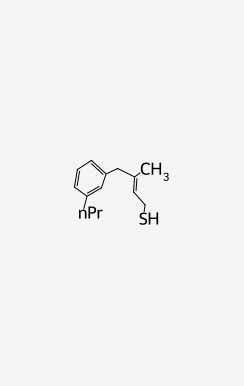 CCCc1cccc(CC(C)=CCS)c1